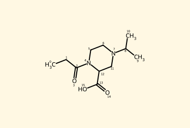 CCC(=O)N1CCN(C(C)C)CC1C(=O)O